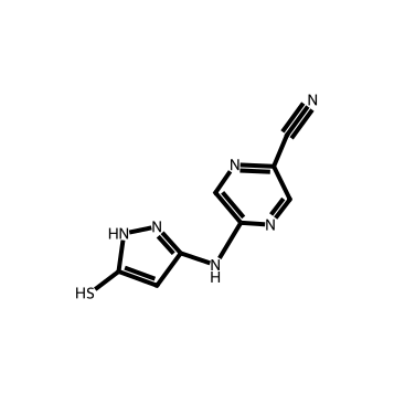 N#Cc1cnc(Nc2cc(S)[nH]n2)cn1